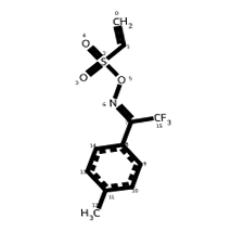 C=CS(=O)(=O)ON=C(c1ccc(C)cc1)C(F)(F)F